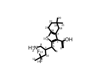 C=C(O)c1c(C(C)C(CN)CC(C)(F)F)sc2c1CC(C)(C)CC2